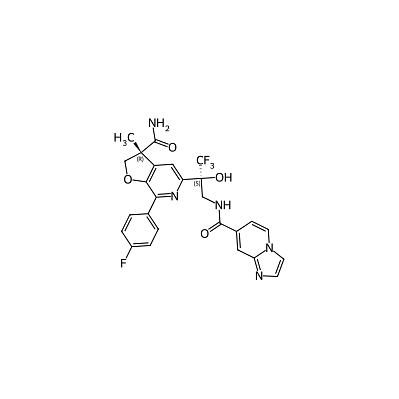 C[C@]1(C(N)=O)COc2c1cc([C@@](O)(CNC(=O)c1ccn3ccnc3c1)C(F)(F)F)nc2-c1ccc(F)cc1